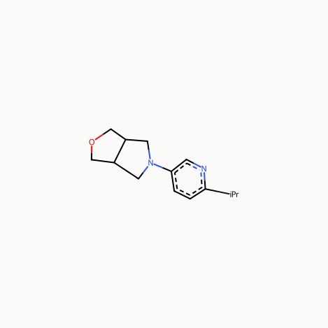 CC(C)c1ccc(N2CC3COCC3C2)cn1